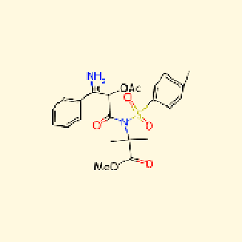 COC(=O)C(C)(C)N(C(=O)C(OC(C)=O)[C@H](N)c1ccccc1)S(=O)(=O)c1ccc(C)cc1